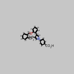 N#Cc1cn(-c2ccc(C(=O)O)cc2)cc1-c1ccccc1OCc1ccccc1C(F)(F)F